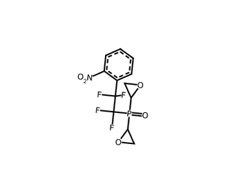 O=[N+]([O-])c1ccccc1C(F)(F)C(F)(F)P(=O)(C1CO1)C1CO1